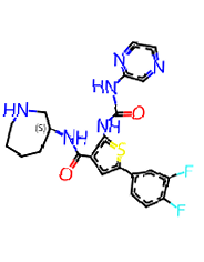 O=C(Nc1cnccn1)Nc1sc(-c2ccc(F)c(F)c2)cc1C(=O)N[C@H]1CCCCNC1